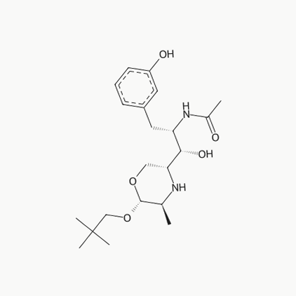 CC(=O)N[C@@H](Cc1cccc(O)c1)[C@H](O)[C@H]1CO[C@@H](OCC(C)(C)C)[C@H](C)N1